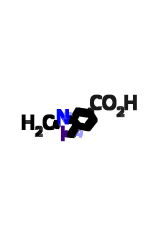 C=C/N=C1/C=C(C(=O)O)C=C/C1=C/I